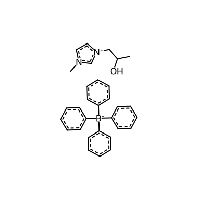 CC(O)C[n+]1ccn(C)c1.c1ccc([B-](c2ccccc2)(c2ccccc2)c2ccccc2)cc1